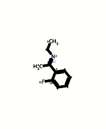 CC/N=C(\C)c1ccccc1F